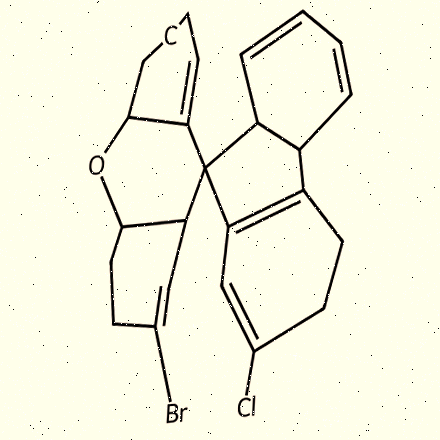 ClC1=CC2=C(CC1)C1C=CC=CC1C21C2=CCCCC2OC2CCC(Br)=CC21